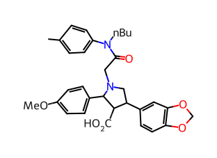 CCCCN(C(=O)CN1CC(c2ccc3c(c2)OCO3)C(C(=O)O)C1c1ccc(OC)cc1)c1ccc(C)cc1